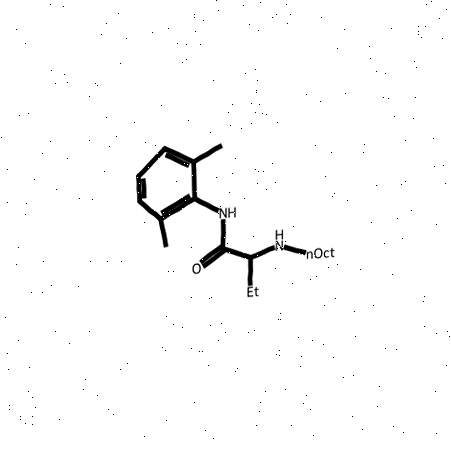 CCCCCCCCNC(CC)C(=O)Nc1c(C)cccc1C